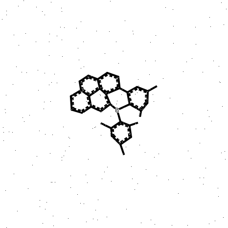 Cc1cc(C)c(B2c3c(C)cc(C)cc3-c3ccc4ccc5cccc6cc2c3c4c56)c(C)c1